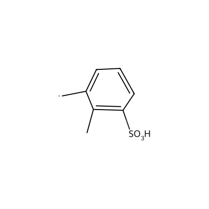 [CH2]c1cccc(S(=O)(=O)O)c1C